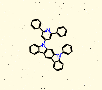 c1ccc(-c2cc(-n3c4ccccc4c4cc5c6ccccc6n(-c6ccccc6)c5cc43)cc(-c3ccccc3)n2)cc1